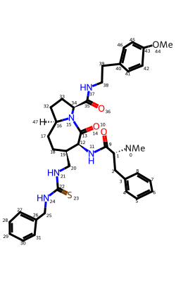 CN[C@H](Cc1ccccc1)C(=O)N[C@@H]1C(=O)N2[C@@H](CC[C@@H]1CNC(=S)NCc1ccccc1)CC[C@H]2C(=O)NCCc1ccc(OC)cc1